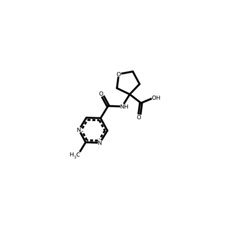 Cc1ncc(C(=O)NC2(C(=O)O)CCOC2)cn1